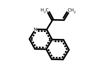 C=CC(=C)c1nccc2ccccc12